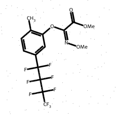 CON=C(Oc1cc(C(F)(F)C(F)(F)C(F)(F)C(F)(F)F)ccc1C)C(=O)OC